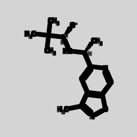 Cc1noc2cnc([C@@H](C)N[S@+]([O-])C(C)(C)C)cc12